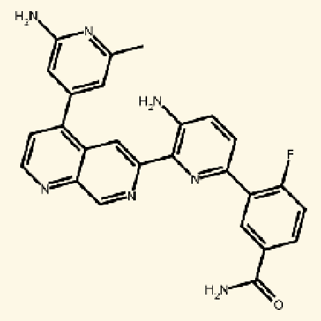 Cc1cc(-c2ccnc3cnc(-c4nc(-c5cc(C(N)=O)ccc5F)ccc4N)cc23)cc(N)n1